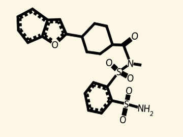 CN(C(=O)C1CCC(c2cc3ccccc3o2)CC1)S(=O)(=O)c1ccccc1S(N)(=O)=O